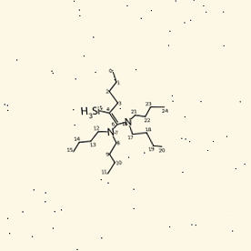 CCCCC([SiH3])=C(N(CCCC)CCCC)N(CCCC)CCCC